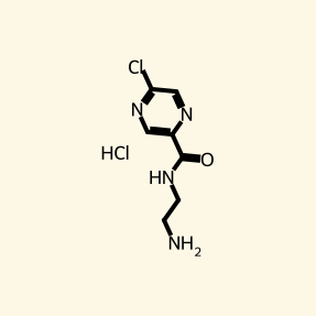 Cl.NCCNC(=O)c1cnc(Cl)cn1